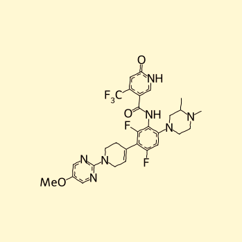 COc1cnc(N2CC=C(c3c(F)cc(N4CCN(C)C(C)C4)c(NC(=O)c4c[nH]c(=O)cc4C(F)(F)F)c3F)CC2)nc1